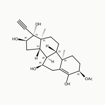 C#C[C@]1(O)[C@H](O)C[C@H]2[C@@H]3[C@H](O)CC4=C(O)[C@H](OC(C)=O)CC[C@]4(C)[C@H]3CC[C@@]21C